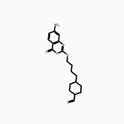 O=c1oc(OCCCCC2CCC(C=S)CC2)nc2cc([N+](=O)[O-])ccc12